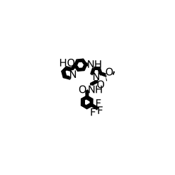 CO[C@H](C)C1CC(NC2CCC(O)(c3ccccn3)CC2)CN1C(=O)CNC(=O)c1cccc(C(F)(F)F)c1